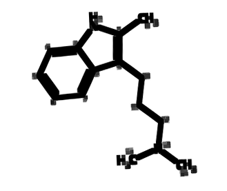 Cc1[nH]c2ccccc2c1CCCN(C)C